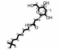 C[C@@H]1C(O)[C@@H](SCC(=O)NCCSCCCC(C)(C)C)OC(CO)[C@H]1O